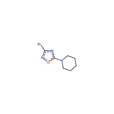 CC(C)c1noc(N2CCCCC2)n1